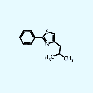 CC(C)Cc1csc(-c2ccccc2)n1